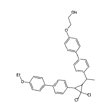 CCOc1ccc(-c2ccc(C3C(C(C)c4ccc(-c5ccc(OCCO)cc5)cc4)C3(Cl)Cl)cc2)cc1